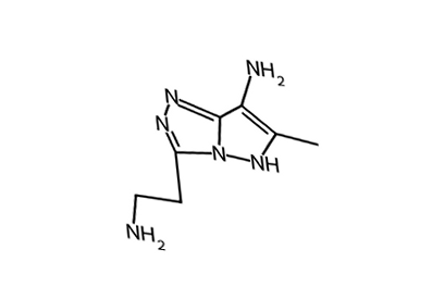 Cc1[nH]n2c(CCN)nnc2c1N